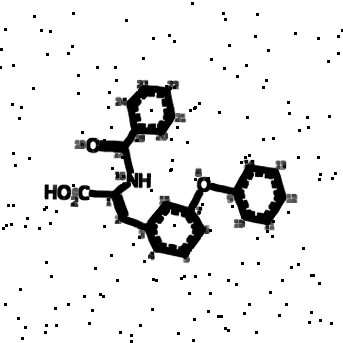 O=C(O)C(=Cc1cccc(Oc2ccccc2)c1)NC(=O)c1ccccc1